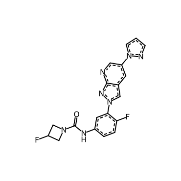 O=C(Nc1ccc(F)c(-n2cc3cc(-n4cccn4)cnc3n2)c1)N1CC(F)C1